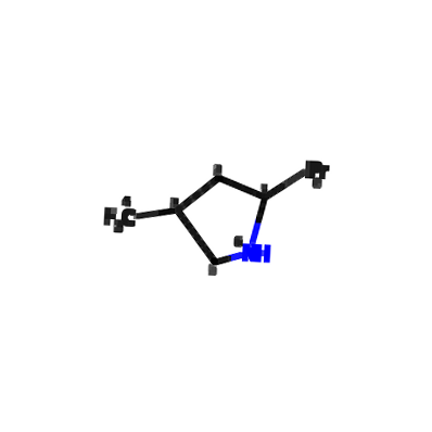 CC(C)C1CC(C(F)(F)F)CN1